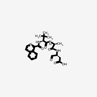 C[C@H](NC(=O)[C@@H](NC(=O)c1nccc2ccccc12)C(C)(C)C)C(=O)N[C@H](C=O)CC(=O)O